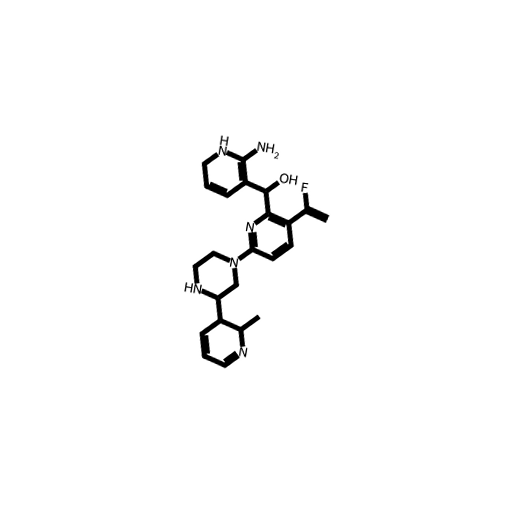 C=C(F)c1ccc(N2CCNC(C3C=CC=NC3C)C2)nc1C(O)C1=C(N)NCC=C1